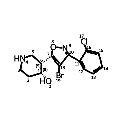 O[C@@H]1CCNC[C@@H]1c1onc(-c2ccccc2Cl)c1Br